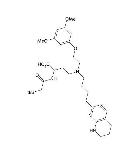 COc1cc(OC)cc(OCCN(CCCCc2ccc3c(n2)NCCC3)CCC(NC(=O)CC(C)(C)C)C(=O)O)c1